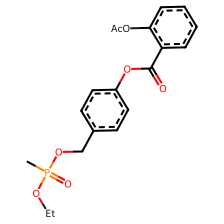 CCOP(C)(=O)OCc1ccc(OC(=O)c2ccccc2OC(C)=O)cc1